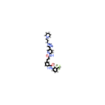 O=C(/C=C/c1cccc(C(=O)Nc2cccc(C(F)(F)F)c2)c1)Nc1ccc(-c2cn(CCCN3CCCCC3)nn2)cn1